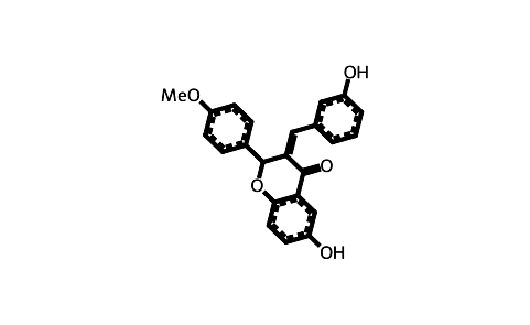 COc1ccc(C2Oc3ccc(O)cc3C(=O)C2=Cc2cccc(O)c2)cc1